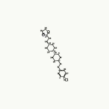 Clc1ccc(CCC2CCC([C@H]3CC[C@H](CCC4OCCO4)CC3)CC2)cc1